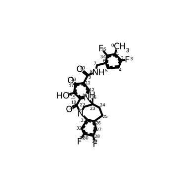 Cc1c(F)ccc(CNC(=O)c2cn3c(c(O)c2=O)C(=O)N2C[C@H]3CCc3cc(F)c(F)cc32)c1F